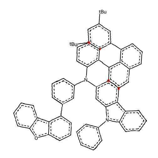 CC(C)(C)c1cc(-c2cccc3cccc(-c4ccccc4N(c4cccc(-c5cccc6oc7ccccc7c56)c4)c4ccc5c6ccccc6n(-c6ccccc6)c5c4)c23)cc(C(C)(C)C)c1